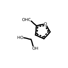 O=Cc1ccco1.OCO